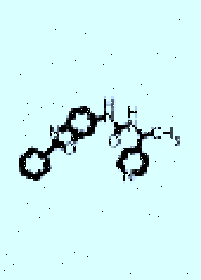 CC(NC(=O)Nc1ccc2nc(-c3ccccc3)oc2c1)c1ccncc1